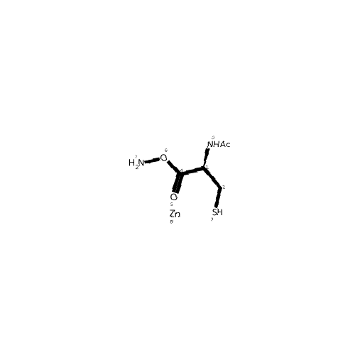 CC(=O)N[C@@H](CS)C(=O)ON.[Zn]